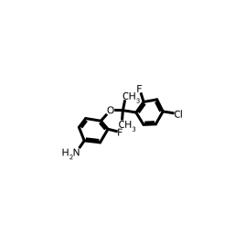 CC(C)(Oc1ccc(N)cc1F)c1ccc(Cl)cc1F